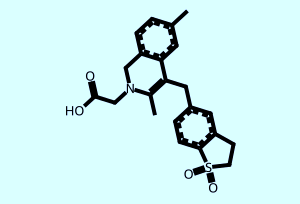 CC1=C(Cc2ccc3c(c2)CCS3(=O)=O)c2cc(C)ccc2CN1CC(=O)O